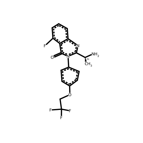 C[C@H](N)c1nc2cccc(F)c2c(=O)n1-c1ccc(OCC(F)(F)F)cc1